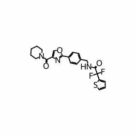 O=C(c1coc(-c2ccc(CNC(=O)C(F)(F)c3cccs3)cc2)n1)N1CCCCC1